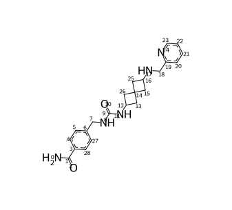 NC(=O)c1ccc(CNC(=O)NC2CC3(CC(NCc4ccccn4)C3)C2)cc1